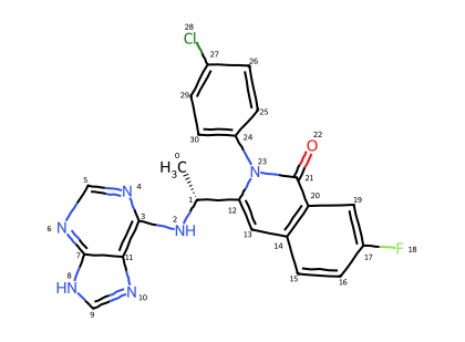 C[C@@H](Nc1ncnc2[nH]cnc12)c1cc2ccc(F)cc2c(=O)n1-c1ccc(Cl)cc1